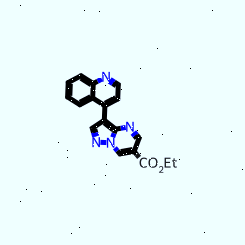 CCOC(=O)c1cnc2c(-c3ccnc4ccccc34)cnn2c1